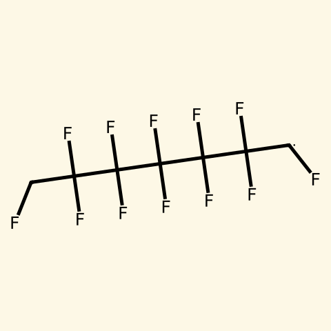 F[CH]C(F)(F)C(F)(F)C(F)(F)C(F)(F)C(F)(F)CF